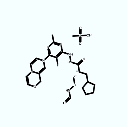 CS(=O)(=O)O.Cc1nc(NNC(=O)[C@@H](CONC=O)CC2CCCC2)c(F)c(N2C=CN3C=COCC3=C2)n1